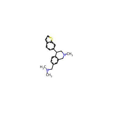 CN(C)Cc1ccc2c(c1)CN(C)CC2c1ccc2ccsc2c1